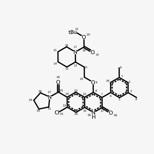 Cc1cc(C)cc(-c2c(OCCC3CCCCN3C(=O)OC(C)(C)C)c3cc(C(=O)N4CCCC4)c(Cl)cc3[nH]c2=O)c1